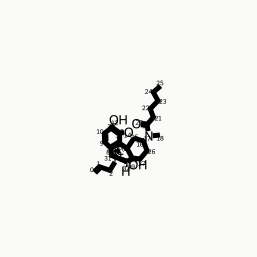 C=CCN1CC[C@]23c4c5ccc(O)c4OC2C(N(C)C(=O)CCCCC)CC[C@@]3(O)[C@H]1C5